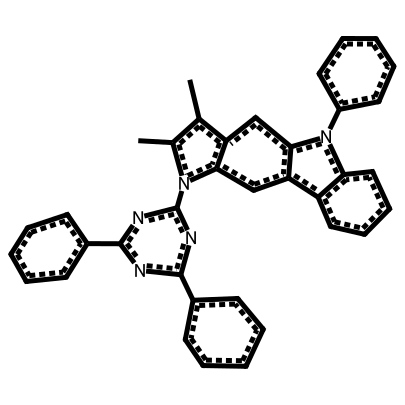 Cc1c(C)n(-c2nc(-c3ccccc3)nc(-c3ccccc3)n2)c2cc3c4ccccc4n(-c4ccccc4)c3cc12